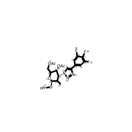 CCCS[C@H]1OC(COC(C)=O)[C@H](OC(C)=O)[C@H](n2cc(-c3cc(F)c(F)c(F)c3)nn2)C1C